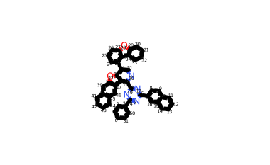 c1ccc(-c2nc(-c3ccc4ccccc4c3)nc(-c3ncc(-c4cccc5oc6ccccc6c45)c4oc5cc6ccccc6cc5c34)n2)cc1